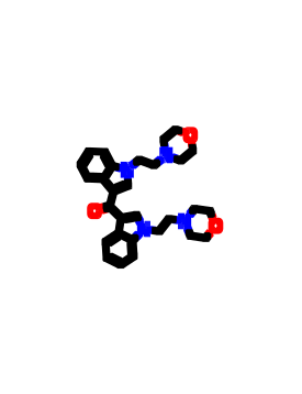 O=C(c1cn(CCN2CCOCC2)c2ccccc12)c1cn(CCN2CCOCC2)c2ccccc12